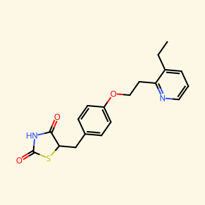 CCc1cccnc1CCOc1ccc(CC2SC(=O)NC2=O)cc1